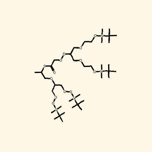 CC(COC(COO[Si](C)(C)C(C)(C)C)COO[Si](C)(C)C(C)(C)C)SC(=O)COOC(COCCO[Si](C)(C)C(C)(C)C)COCCO[Si](C)(C)C(C)(C)C